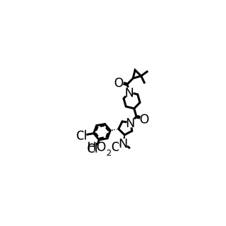 CN(C(=O)O)[C@@H]1CN(C(=O)C2CCN(C(=O)C3CC3(C)C)CC2)C[C@H]1c1ccc(Cl)c(Cl)c1